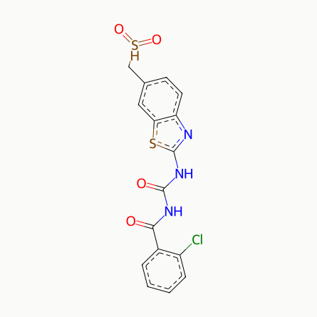 O=C(NC(=O)c1ccccc1Cl)Nc1nc2ccc(C[SH](=O)=O)cc2s1